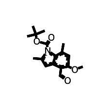 COc1cc(C)c2c(cc(C)n2C(=O)OC(C)(C)C)c1C=O